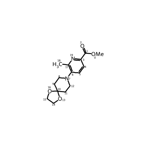 COC(=O)c1ccc(N2CCC3(CC2)OCCO3)c(C)n1